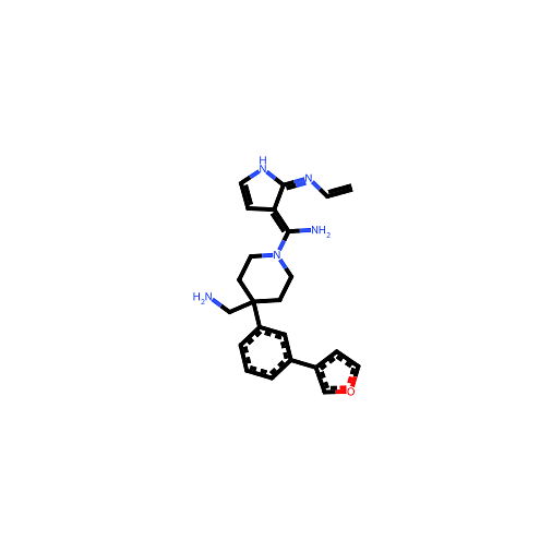 C=C/N=C1/NC=C/C1=C(/N)N1CCC(CN)(c2cccc(-c3ccoc3)c2)CC1